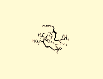 CCCCCCCCCCCCCCN(C)C.C[N+](C)(C)C(CCCS(=O)(=O)[O-])C(=O)O